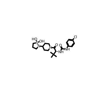 CC(C)(C)[C@@H](NC(=O)Nc1ccc(Cl)cc1)C(=O)N1CCC(N2CCCS2(O)O)CC1